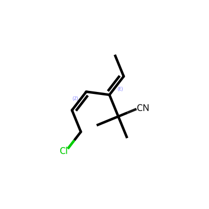 C/C=C(\C=C/CCl)C(C)(C)C#N